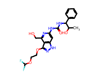 CC(O)C(NC(=O)Nc1cc2[nH]nc(OCCOC(F)F)c2c(CO)n1)c1ccccc1